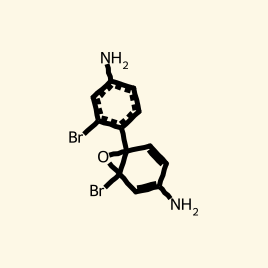 NC1=CC2(Br)OC2(c2ccc(N)cc2Br)C=C1